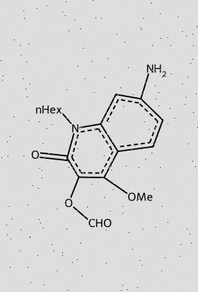 CCCCCCn1c(=O)c(OC=O)c(OC)c2ccc(N)cc21